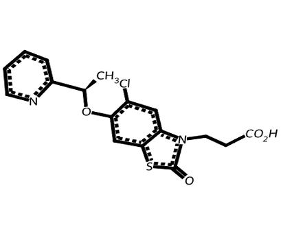 C[C@@H](Oc1cc2sc(=O)n(CCC(=O)O)c2cc1Cl)c1ccccn1